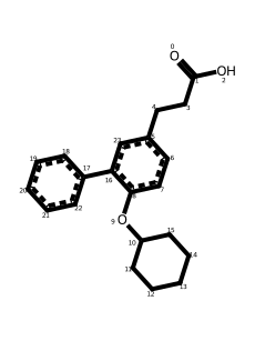 O=C(O)CCc1ccc(OC2CCCCC2)c(-c2ccccc2)c1